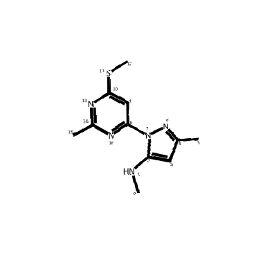 CNc1cc(C)nn1-c1cc(SC)nc(C)n1